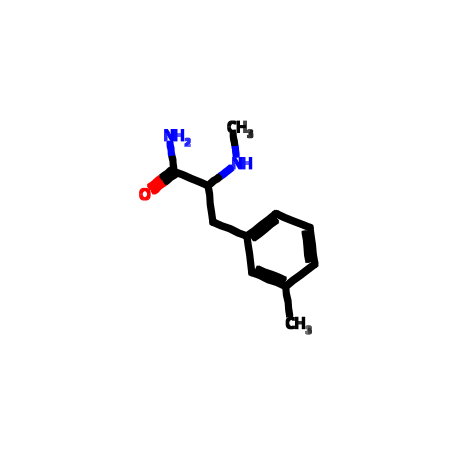 CNC(Cc1cccc(C)c1)C(N)=O